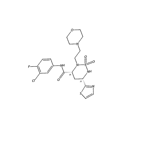 O=C(Nc1ccc(F)c(Cl)c1)[C@H]1C[C@@H](c2nccs2)NS(=O)(=O)N1CCN1CCOCC1